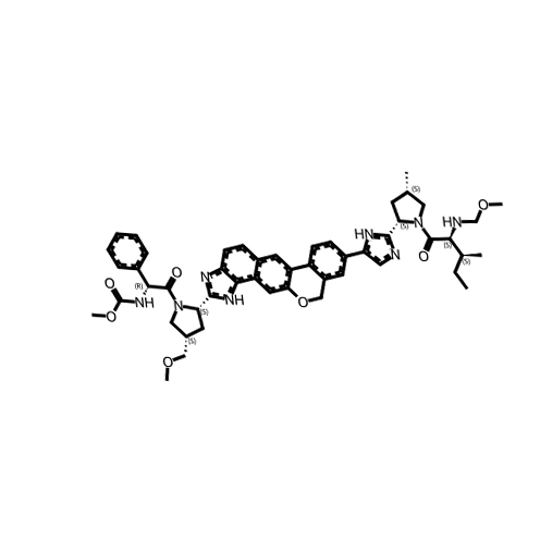 CC[C@H](C)[C@H](NCOC)C(=O)N1C[C@@H](C)C[C@H]1c1ncc(-c2ccc3c(c2)COc2cc4c(ccc5nc([C@@H]6C[C@H](COC)CN6C(=O)[C@H](NC(=O)OC)c6ccccc6)[nH]c54)cc2-3)[nH]1